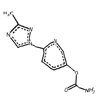 Cc1ncn(-c2ccc(OC(N)=O)cn2)n1